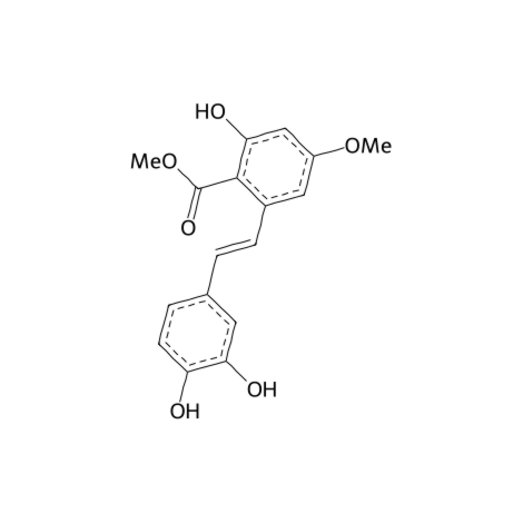 COC(=O)c1c(O)cc(OC)cc1/C=C/c1ccc(O)c(O)c1